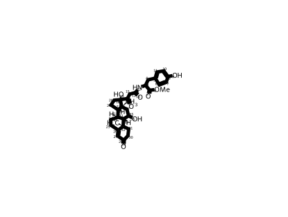 COC(=O)C(Cc1ccc(O)cc1)NC(=O)CC(=O)[C@@]1(O)CC[C@H]2[C@@H]3CCC4=CC(=O)CC[C@]4(C)[C@H]3C(O)C[C@@]21C